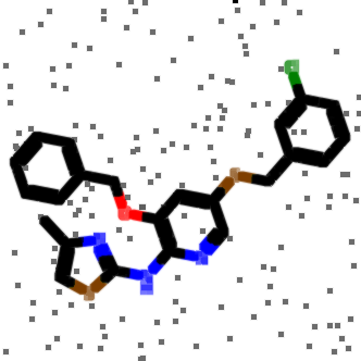 Cc1csc(Nc2ncc(SCc3cccc(Cl)c3)cc2OCc2ccccc2)n1